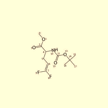 COC(=O)C(CC=C(F)F)NC(=O)OC(C)(C)C